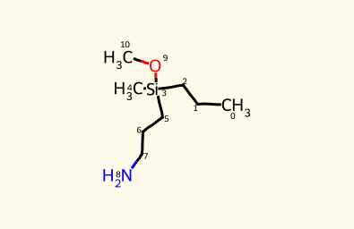 CCC[Si](C)(CCCN)OC